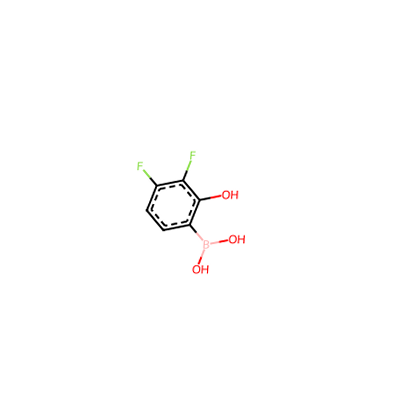 OB(O)c1ccc(F)c(F)c1O